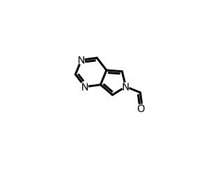 O=Cn1cc2cncnc2c1